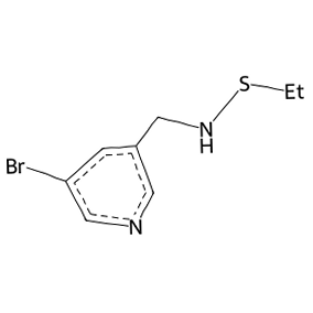 CCSNCc1cncc(Br)c1